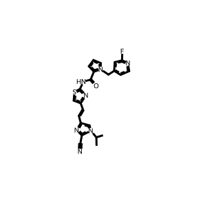 CC(C)n1cc(C=Cc2csc(NC(=O)c3cccn3Cc3ccnc(F)c3)n2)nc1C#N